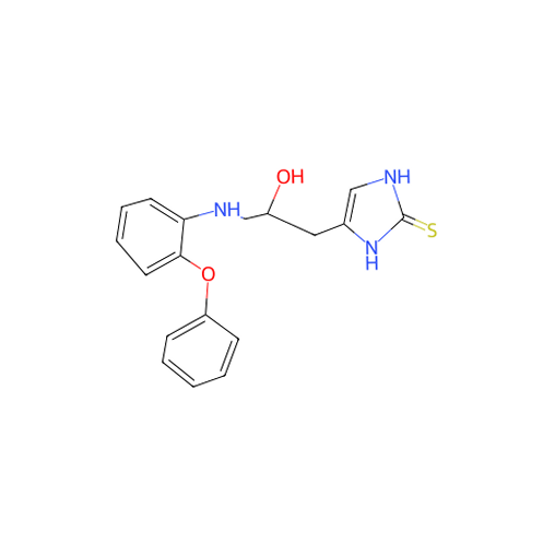 OC(CNc1ccccc1Oc1ccccc1)Cc1c[nH]c(=S)[nH]1